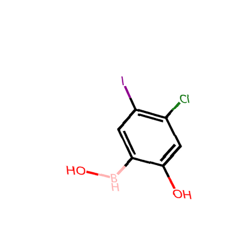 OBc1cc(I)c(Cl)cc1O